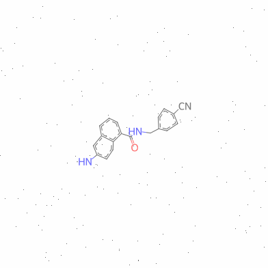 N#Cc1ccc(CNC(=O)c2cccc3cc([NH])ccc23)cc1